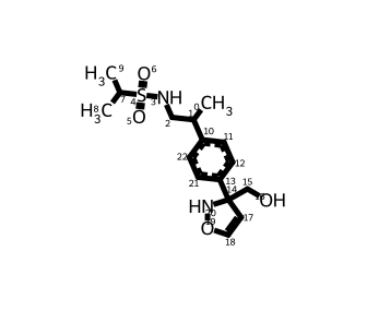 CC(CNS(=O)(=O)C(C)C)c1ccc(C2(CO)C=CON2)cc1